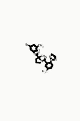 Cc1ccc(-n2nccn2)c(C(=O)N2CCCC2(C)c2nc3cc(Br)cc(C)c3[nH]2)c1